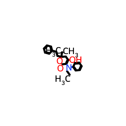 CCCN(C1=C(O)CC(CCc2ccccc2)(C(C)C)OC1=O)c1ccccc1